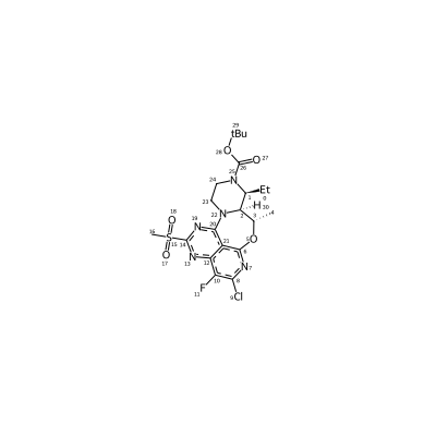 CC[C@H]1[C@H]2[C@H](C)Oc3nc(Cl)c(F)c4nc(S(C)(=O)=O)nc(c34)N2CCN1C(=O)OC(C)(C)C